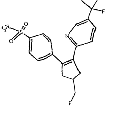 NS(=O)(=O)c1ccc(C2=C(c3ccc(C(F)(F)F)cn3)CC(CF)C2)cc1